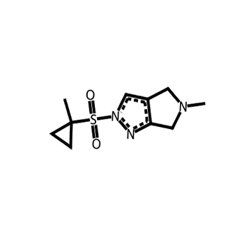 CN1Cc2cn(S(=O)(=O)C3(C)CC3)nc2C1